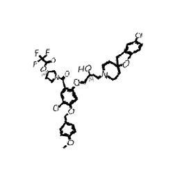 COc1ccc(COc2cc(OC[C@@H](O)CN3CCC4(CC3)Cc3cc(Cl)ccc3O4)c(C(=O)N3CC[C@H](OC(=O)C(F)(F)F)C3)cc2Cl)cc1